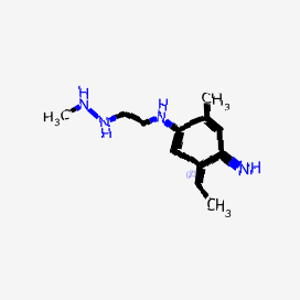 C/C=C1/C=C(NCCNNC)C(C)=CC1=N